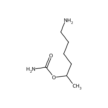 CC(CCCCN)OC(N)=O